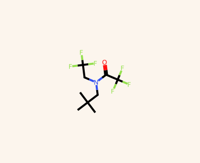 CC(C)(C)CN(CC(F)(F)F)C(=O)C(F)(F)F